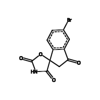 O=C1NC(=O)C2(CC(=O)c3cc(Br)ccc32)O1